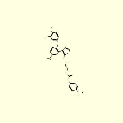 COc1ccc(Oc2ccc(C(C)C)cc2-c2ccsc2SNCCNC(=S)Nc2ccc([N+](=O)[O-])cc2)cc1OC